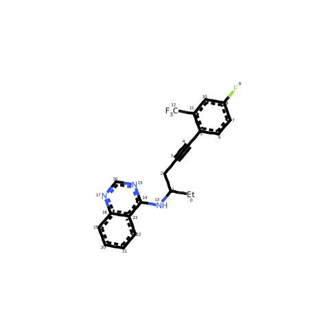 CCC(CC#Cc1ccc(F)cc1C(F)(F)F)Nc1ncnc2ccccc12